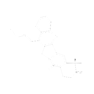 CC[C@@]1(O)C(=O)CCc2c1cc1n(c2=O)Cc2c-1nc1ccccc1c2/C=N/OC(C)(C)C